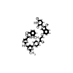 Cc1nc(Nc2ncc(C(=O)Nc3c(C)cccc3Cl)s2)cc(N2CCN(C(=O)CCOc3cccc4c3CN(C3CCC(=O)NC3=O)C4=O)CC2)n1